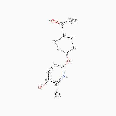 COC(=O)C1CCC(Oc2ccc(Br)c(C)n2)CC1